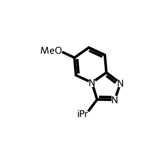 COc1ccc2nnc(C(C)C)n2c1